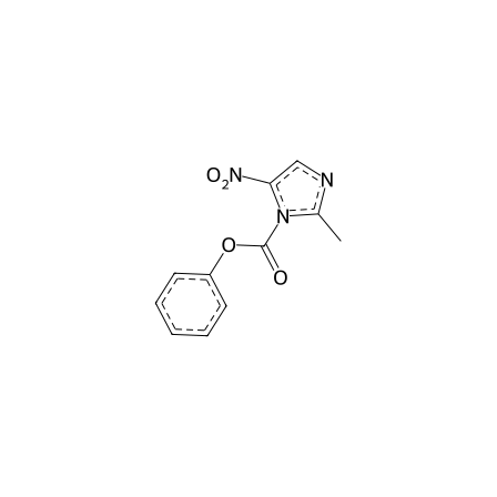 Cc1ncc([N+](=O)[O-])n1C(=O)Oc1ccccc1